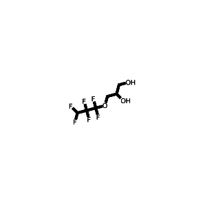 OCC(O)COC(F)(F)C(F)(F)C(F)F